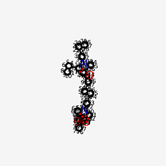 c1cc(-c2cccc3ccccc23)cc(N(c2ccc(-c3cccc4ccccc34)cc2)c2ccccc2-c2cccc3c2oc2ccc(-c4cccc5c(-c6ccc(N(c7ccccc7-c7cccc8c7oc7ccccc78)c7cccc8oc9ccccc9c78)cc6)cccc45)cc23)c1